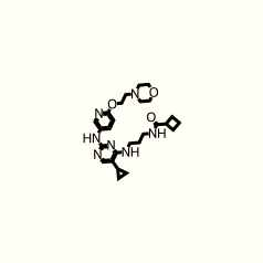 O=C(NCCCNc1nc(Nc2ccc(OCCN3CCOCC3)nc2)ncc1C1CC1)C1CCC1